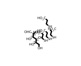 O=C(O)CCS.O=C(O)CCS.O=C(O)CCS.O=C(O)CCS.O=C[C@H](O)[C@@H](O)[C@H](O)[C@H](O)CO